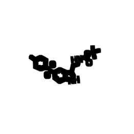 Cc1ccc(S(=O)(=O)c2ccc3[nH]cc(CCNC(=O)OC(C)(C)C)c3c2)cc1